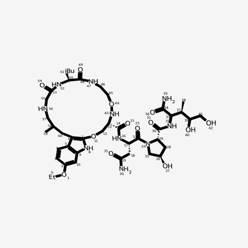 CCOc1ccc2c3c([nH]c2c1)OC[C@@H](C(=O)N[C@@H](CC(N)=O)C(=O)N1C[C@H](O)C[C@H]1C(=O)NC(C(N)=O)[C@@H](C)C(O)CO)NOCCNC(=O)[C@H](C(C)CC)NC(=O)CNCC(C)C3